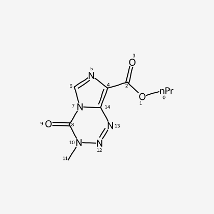 CCCOC(=O)c1ncn2c(=O)n(C)nnc12